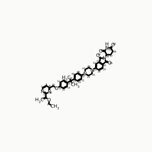 C=C(OCC)c1nccc(COc2ccc(C(C)(C)c3ccc(N4CCN(c5ccc6c(c5)C(=O)N(C5CCC(=O)NC5=O)C6=O)CC4)cc3)cc2)n1